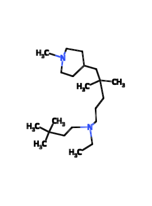 CCN(CCCC(C)(C)CC1CCN(C)CC1)CCC(C)(C)C